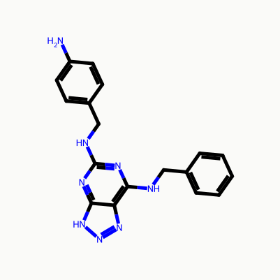 Nc1ccc(CNc2nc(NCc3ccccc3)c3nn[nH]c3n2)cc1